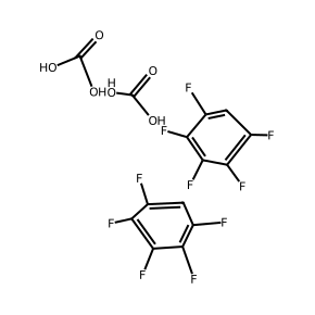 Fc1cc(F)c(F)c(F)c1F.Fc1cc(F)c(F)c(F)c1F.O=C(O)O.O=C(O)O